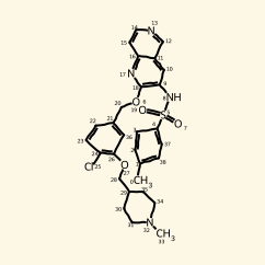 Cc1ccc(S(=O)(=O)Nc2cc3cnccc3nc2OCc2ccc(Cl)c(OCC3CCN(C)CC3)c2)cc1